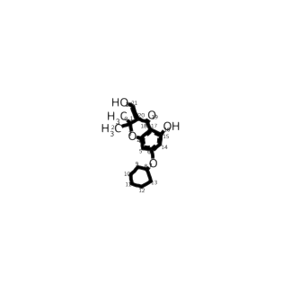 CC1(C)Oc2cc(OC3CCCCC3)cc(O)c2C(=O)/C1=C/O